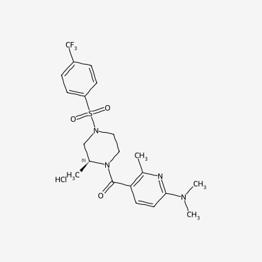 Cc1nc(N(C)C)ccc1C(=O)N1CCN(S(=O)(=O)c2ccc(C(F)(F)F)cc2)C[C@@H]1C.Cl